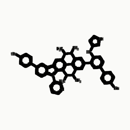 CC1c2cc(-c3cc(-c4ccc(C(C)(C)C)cc4)ccc3Nc3cc[nH]c3)cc3c2-c2c(cc4c5cc(-c6ccc(C(C)(C)C)cc6)ccc5n(-c5cccnc5)c4c2C(C)C3C)C1C